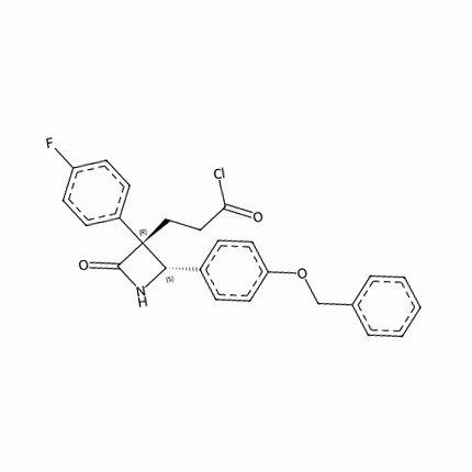 O=C(Cl)CC[C@]1(c2ccc(F)cc2)C(=O)N[C@H]1c1ccc(OCc2ccccc2)cc1